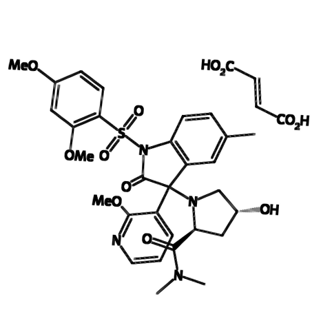 COc1ccc(S(=O)(=O)N2C(=O)C(c3cccnc3OC)(N3C[C@H](O)C[C@H]3C(=O)N(C)C)c3cc(C)ccc32)c(OC)c1.O=C(O)C=CC(=O)O